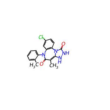 CC1=C2NNC(=O)N2c2ccc(Cl)cc2N(c2ccccc2C)C1=O